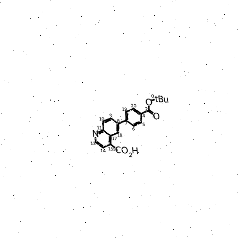 CC(C)(C)OC(=O)c1ccc(-c2ccc3nccc(C(=O)O)c3c2)cc1